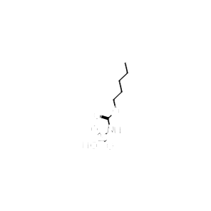 CCCCCOC(=O)NS(=O)(=O)O